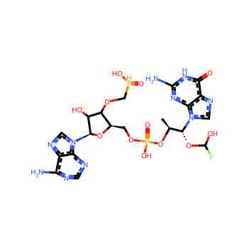 C[C@H](OP(=O)(O)OC[C@H]1O[C@@H](n2cnc3c(N)ncnc32)C(O)C1OC[PH](=O)O)[C@@H](OC(O)F)n1cnc2c(=O)[nH]c(N)nc21